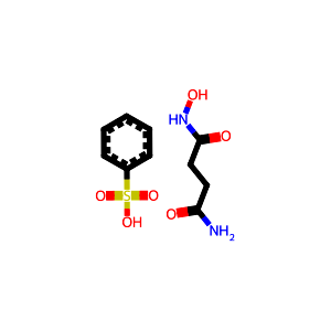 NC(=O)CCC(=O)NO.O=S(=O)(O)c1ccccc1